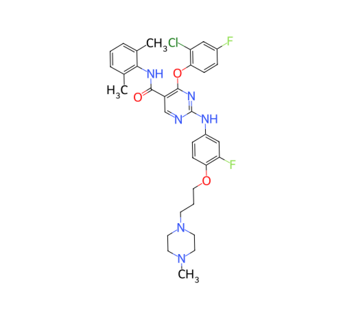 Cc1cccc(C)c1NC(=O)c1cnc(Nc2ccc(OCCCN3CCN(C)CC3)c(F)c2)nc1Oc1ccc(F)cc1Cl